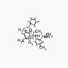 CCC(CC)(Pc1ccc(C)cc1CNC)c1cc(C)cc(C)c1OCc1ccccc1